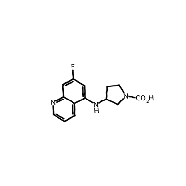 O=C(O)N1CCC(Nc2cc(F)cc3ncccc23)C1